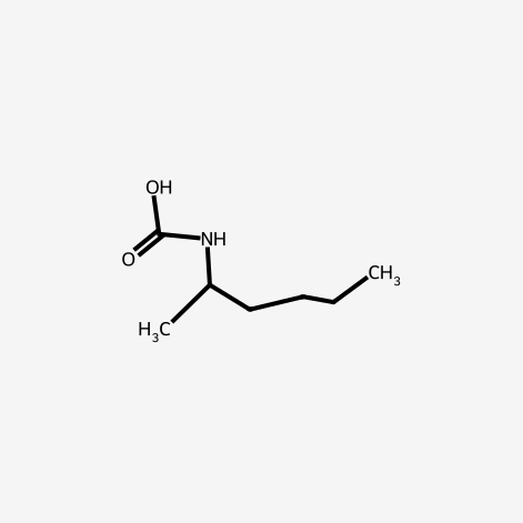 CCCCC(C)NC(=O)O